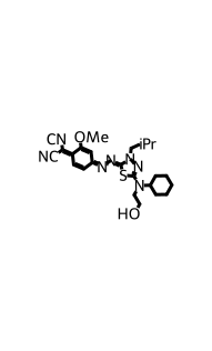 COC1=C/C(=N\N=c2/sc(N(CCO)C3CCCCC3)nn2CC(C)C)C=CC1=C(C#N)C#N